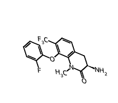 CN1C(=O)[C@H](N)Cc2ccc(C(F)(F)F)c(Oc3ccccc3F)c21